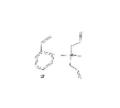 C=CC[N+](C)(C)CC=C.C=Cc1ccccc1.[Cl-]